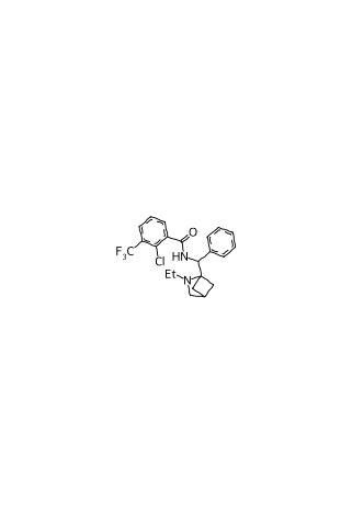 CCN1CC2CC1(C(NC(=O)c1cccc(C(F)(F)F)c1Cl)c1ccccc1)C2